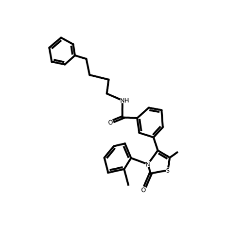 Cc1ccccc1-n1c(-c2cccc(C(=O)NCCCCc3ccccc3)c2)c(C)sc1=O